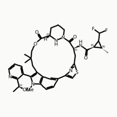 CCn1c(-c2cccnc2[C@H](C)OC)c2c3cc(ccc31)-c1csc(n1)C[C@H](NC(=O)[C@H]1C(C(F)F)[C@@H]1C)C(=O)N1CCC[C@H](N1)C(=O)OCC(C)(C)C2